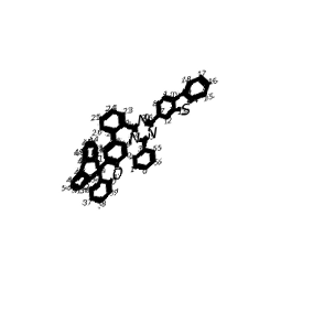 c1ccc(-c2nc(-c3ccc4c(c3)sc3ccccc34)nc(-c3ccccc3-c3ccc4c(c3)C3(c5ccccc5O4)c4ccccc4-c4ccccc43)n2)cc1